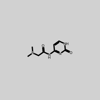 CN(C)CC(=O)Nc1cc[nH]c(=O)n1